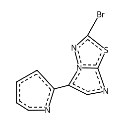 Brc1nn2c(-c3ccccn3)cnc2s1